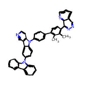 Cc1c(-c2ccc(-n3c4ccncc4c4cc(-n5c6ccccc6c6ccccc65)ccc43)cc2)ccc(-c2nncc3cccnc23)c1C